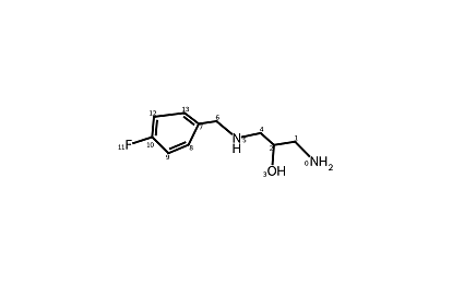 NCC(O)CNCc1ccc(F)cc1